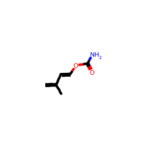 C=C(C)C=COC(N)=O